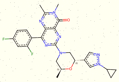 Cc1nc2c(-c3ccc(F)cc3F)nc(N3C[C@H](C)O[C@@H](c4cnn(C5CC5)c4)C3)nc2c(=O)n1C